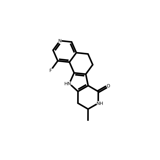 CC1Cc2[nH]c3c(c2C(=O)N1)CCc1cncc(F)c1-3